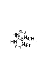 CCN1CCNC2=C1N(C)CCN2